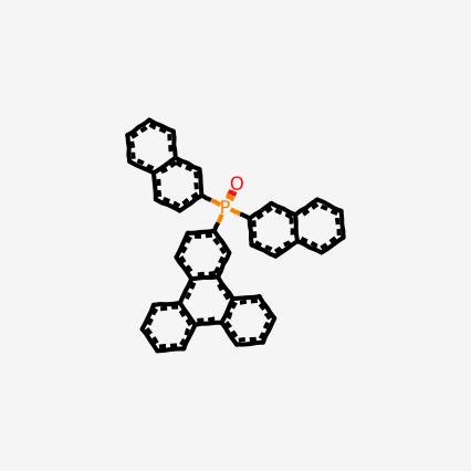 O=P(c1ccc2ccccc2c1)(c1ccc2ccccc2c1)c1ccc2c3ccccc3c3ccccc3c2c1